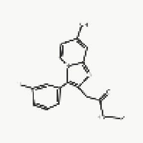 CC(C)NC(=O)Cc1nc2cc(O)ccn2c1-c1cccc(Cl)c1